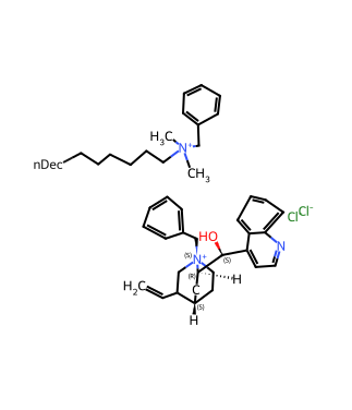 C=CC1C[N@+]2(Cc3ccccc3)CC[C@H]1C[C@@H]2[C@@H](O)c1ccnc2ccccc12.CCCCCCCCCCCCCCCC[N+](C)(C)Cc1ccccc1.[Cl-].[Cl-]